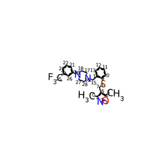 Cc1noc(C)c1CSc1ccccc1CN1CCN(c2cccc(C(F)(F)F)c2)CC1